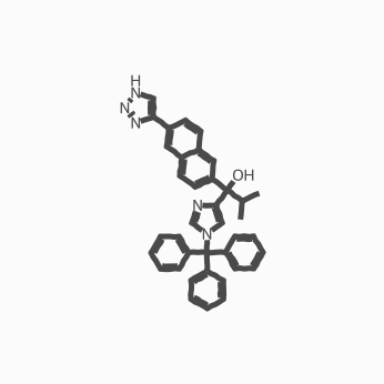 CC(C)C(O)(c1ccc2cc(-c3c[nH]nn3)ccc2c1)c1cn(C(c2ccccc2)(c2ccccc2)c2ccccc2)cn1